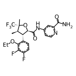 CCOc1c([C@@H]2[C@@H](C)[C@](C)(C(F)(F)F)O[C@H]2C(=O)Nc2ccnc(C(N)=O)c2)ccc(F)c1F